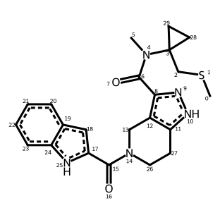 CSCC1(N(C)C(=O)c2n[nH]c3c2CN(C(=O)c2cc4ccccc4[nH]2)CC3)CC1